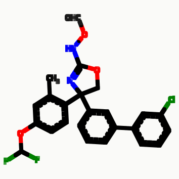 Cc1cc(OC(F)F)ccc1C1(c2cccc(-c3cccc(Cl)c3)c2)COC(NOC=O)=N1